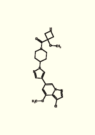 COc1cc(-c2cnn(C3CCN(C(=O)C4(OC)CNC4)CC3)c2)cn2ncc(Cl)c12